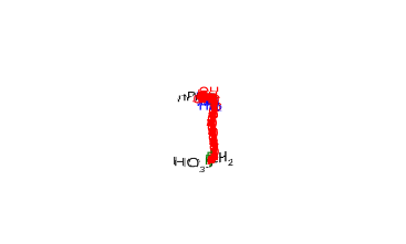 C=C(CCOCCOCCOCCOCCOCCOCCOCCOCCOCCOCCC(=O)NCC1CN(S(=O)(=O)c2cccc(-c3ccc4c(c3)N=C(N)CC(C(=O)N(CCC)OCCO)=C4)c2)C1)Oc1c(F)c(F)c(S(=O)(=O)O)c(F)c1F